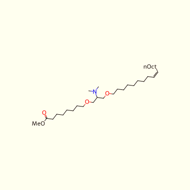 CCCCCCCC/C=C\CCCCCCCCOCC(COCCCCCCCC(=O)OC)N(C)C